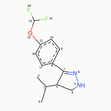 CC(C)C1CNN=C1c1ccc(OC(F)F)cc1